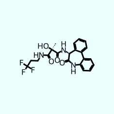 C[C@@](O)(C(=O)NCCC(F)(F)F)C(=O)N[C@@H]1C(=O)Nc2ccccc2-c2ccccc21